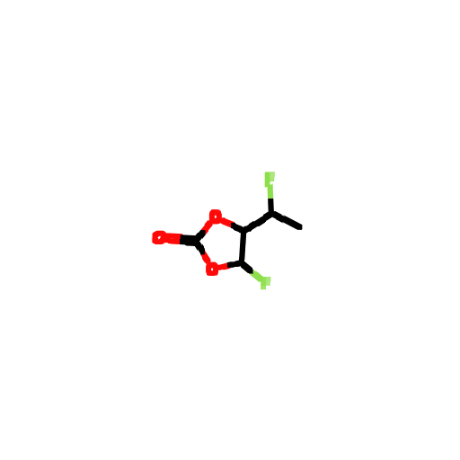 CC(F)C1OC(=O)OC1F